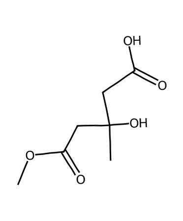 COC(=O)CC(C)(O)CC(=O)O